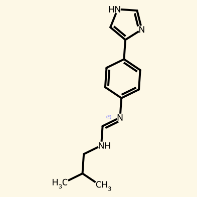 CC(C)CN/C=N/c1ccc(-c2c[nH]cn2)cc1